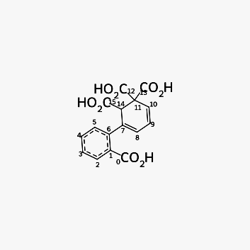 O=C(O)c1ccccc1C1=CC=CC(C(=O)O)(C(=O)O)C1C(=O)O